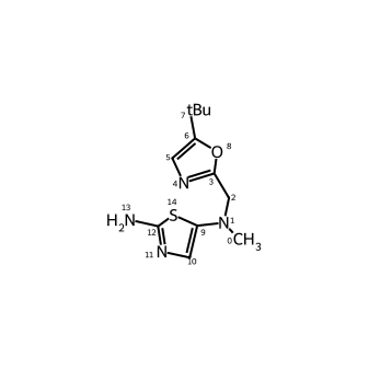 CN(Cc1ncc(C(C)(C)C)o1)c1cnc(N)s1